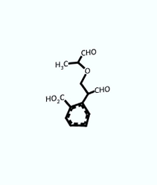 CC(C=O)OCC(C=O)c1ccccc1C(=O)O